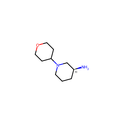 N[C@H]1CCCN(C2CCOCC2)C1